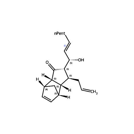 C=CC[C@@H]1[C@@H]([C@@H](O)/C=C/CCCCC)C(=O)[C@@H]2[C@H]1[C@@H]1C=C[C@H]2C1